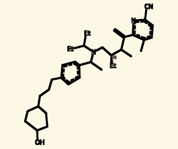 C=C(c1nc(C#N)ccc1C)C(C)[C@@H](CC)CN(C(CC)CC)C(C)c1ccc(CCCC2CCC(O)CC2)cc1